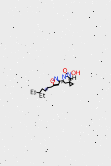 CCC(CC)C/C=C/Cc1cc([C@@H]2CC3(CC3)[C@@H]3CN2C(=O)N3O)no1